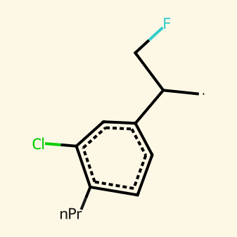 [CH2]C(CF)c1ccc(CCC)c(Cl)c1